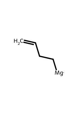 C=CC[CH2][Mg]